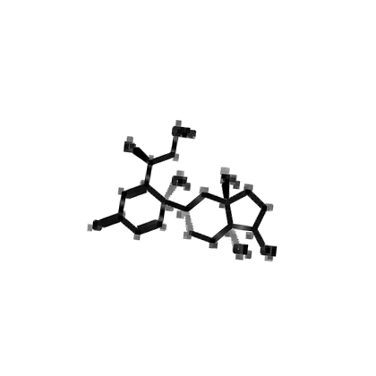 CC[C@@H](COC)C1=CC(=O)C=C[C@]1(C)[C@H]1CC[C@]2(C)C(O)CC[C@@]2(N)C1